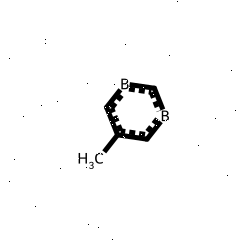 Cc1cbcbc1